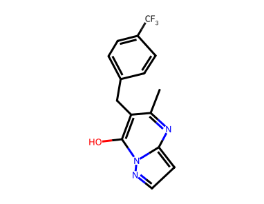 Cc1nc2ccnn2c(O)c1Cc1ccc(C(F)(F)F)cc1